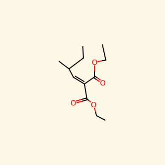 CCOC(=O)C(=CC(C)CC)C(=O)OCC